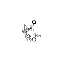 Cc1nc(-c2cnn(C)c2CNC(=O)OCc2ccccc2)cnc1O[C@H]1CCC[C@H](C(=O)O)C1